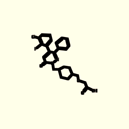 O=C(O)COCC1CCC(Cn2nc(-c3ccccc3)c(-c3cccc(Cl)c3F)cc2=O)CC1